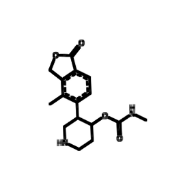 CNC(=O)OC1CCNCC1c1ccc2c(c1C)COC2=O